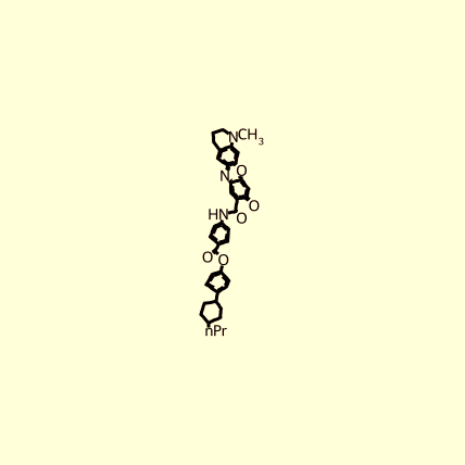 CCCC1CCC(c2ccc(OC(=O)c3ccc(NC(=O)c4cc5nc6cc7c(cc6oc-5cc4=O)N(C)CCC7)cc3)cc2)CC1